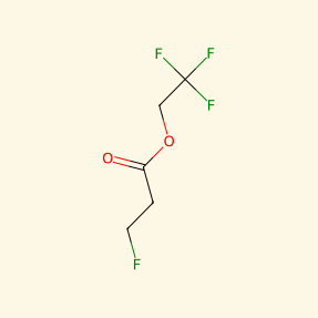 O=C(CCF)OCC(F)(F)F